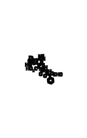 CCOP(=O)(O)CC(Sc1nnn[nH]1)C1=C(C(=O)O)N2C(=O)[C@@H](NC(=O)C(OC=O)c3ccccc3)[C@@H]2SC1